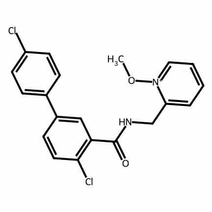 CO[n+]1ccccc1CNC(=O)c1cc(-c2ccc(Cl)cc2)ccc1Cl